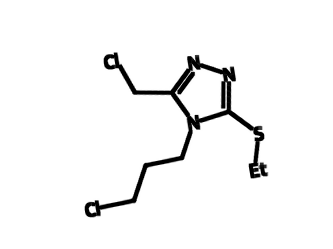 CCSc1nnc(CCl)n1CCCCl